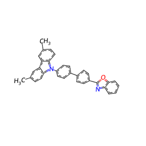 Cc1ccc2c(c1)c1cc(C)ccc1n2-c1ccc(-c2ccc(-c3nc4ccccc4o3)cc2)cc1